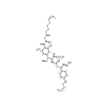 C=CCCCCNCC(=O)Nc1c(Cl)cc(C(C(=NC(=O)CC(=NOCC)c2ccc(OCC=C)cc2)NC(=O)O)C(C)(C)C)cc1Cl